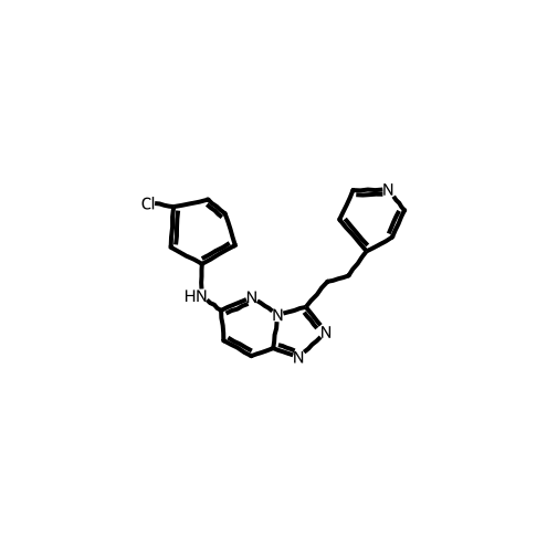 Clc1cccc(Nc2ccc3nnc(CCc4ccncc4)n3n2)c1